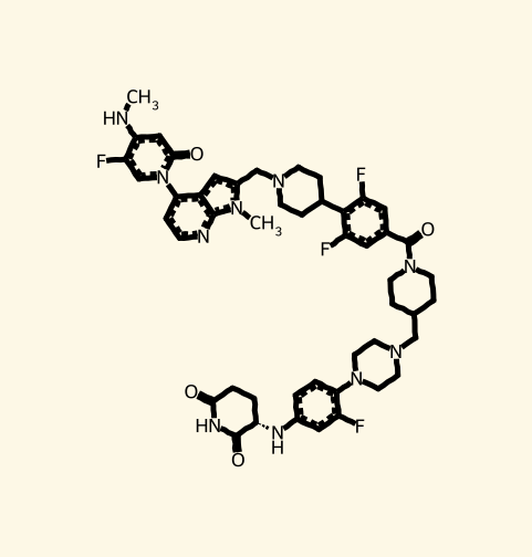 CNc1cc(=O)n(-c2ccnc3c2cc(CN2CCC(c4c(F)cc(C(=O)N5CCC(CN6CCN(c7ccc(N[C@H]8CCC(=O)NC8=O)cc7F)CC6)CC5)cc4F)CC2)n3C)cc1F